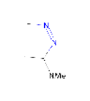 C/N=N\C(C)NC